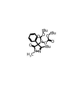 CN1N=C(C(C)(C)C)C(c2ccccc2)(N(OC(=O)OC(C)(C)C)C(=O)OC(C)(C)C)C1=O